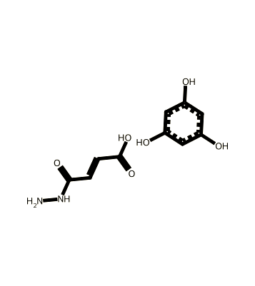 NNC(=O)C=CC(=O)O.Oc1cc(O)cc(O)c1